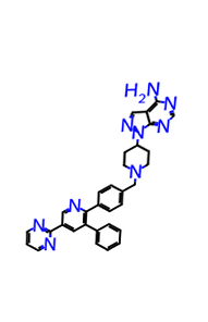 Nc1ncnc2c1cnn2C1CCN(Cc2ccc(-c3ncc(-c4ncccn4)cc3-c3ccccc3)cc2)CC1